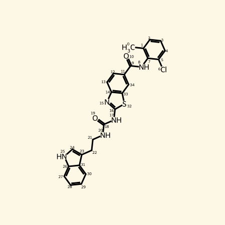 Cc1cccc(Cl)c1NC(=O)c1ccc2nc(NC(=O)NCCc3c[nH]c4ccccc34)sc2c1